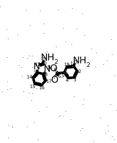 Nc1cccc(C(=O)On2c(N)nc3ccccc32)c1